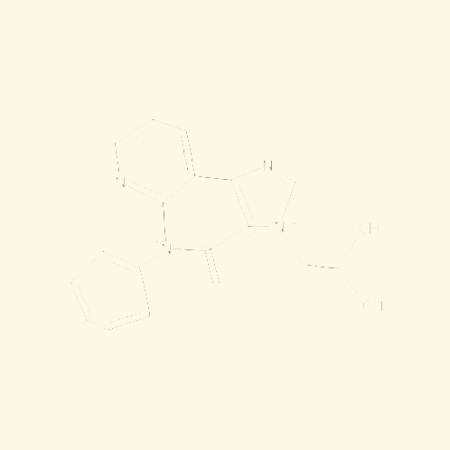 CC(C)Cn1cnc2c3cccnc3n(-c3ccccc3)c(=S)c21